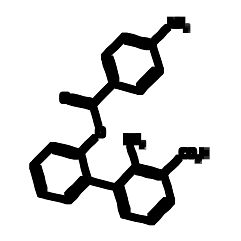 Nc1ccc(C(=O)Oc2ccccc2-c2cccc(C(=O)O)c2N)cc1